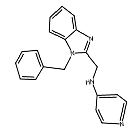 c1ccc(Cn2c(CNc3ccncc3)nc3ccccc32)cc1